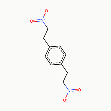 O=[N+]([O-])CCc1ccc(CC[N+](=O)[O-])cc1